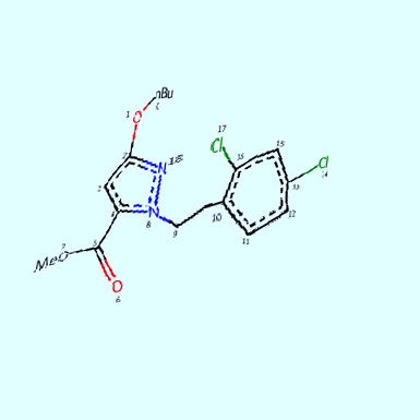 CCCCOc1cc(C(=O)OC)n(Cc2ccc(Cl)cc2Cl)n1